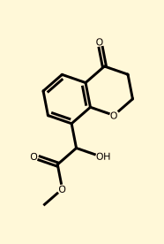 COC(=O)C(O)c1cccc2c1OCCC2=O